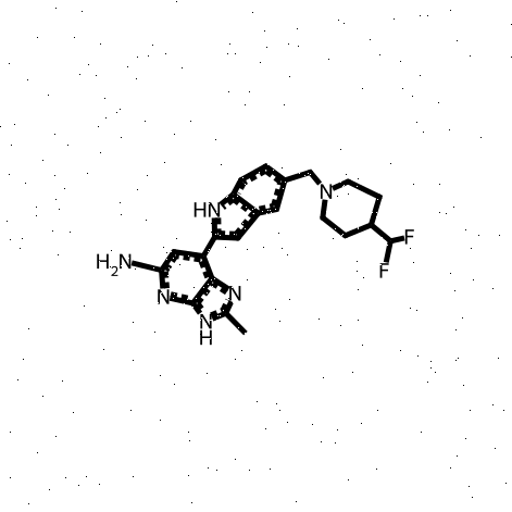 Cc1nc2c(-c3cc4cc(CN5CCC(C(F)F)CC5)ccc4[nH]3)cc(N)nc2[nH]1